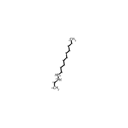 CCCCCCCCCCPPCC